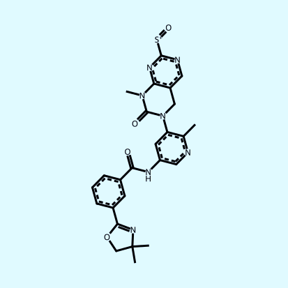 Cc1ncc(NC(=O)c2cccc(C3=NC(C)(C)CO3)c2)cc1N1Cc2cnc([S+]=O)nc2N(C)C1=O